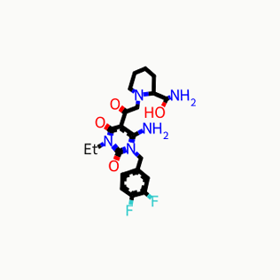 CCn1c(=O)c(C(=O)CN2CCCCC2C(N)O)c(N)n(Cc2ccc(F)c(F)c2)c1=O